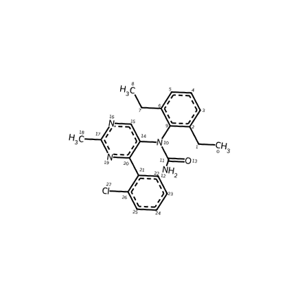 CCc1cccc(CC)c1N(C(N)=O)c1cnc(C)nc1-c1ccccc1Cl